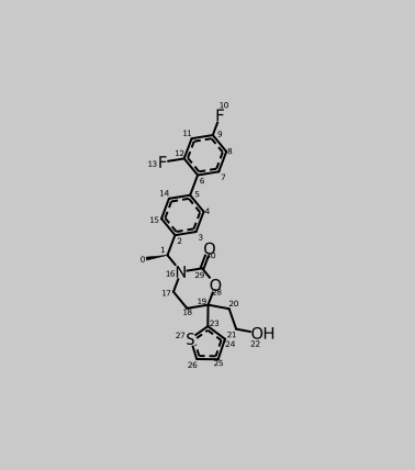 C[C@@H](c1ccc(-c2ccc(F)cc2F)cc1)N1CCC(CCO)(c2cccs2)OC1=O